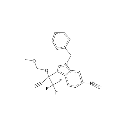 [C-]#[N+]c1ccc2c(C(C#C)(OCOC)C(F)(F)F)cn(Cc3ccccc3)c2c1